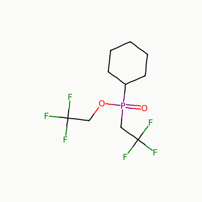 O=P(CC(F)(F)F)(OCC(F)(F)F)C1CCCCC1